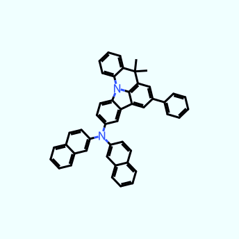 CC1(C)c2ccccc2-n2c3ccc(N(c4ccc5ccccc5c4)c4ccc5ccccc5c4)cc3c3cc(-c4ccccc4)cc1c32